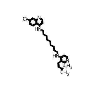 C=C(Cl)/C=C\c1c(NCCCCCCCCCNc2ccnc3cc(Cl)ccc23)ccnc1C